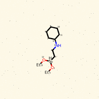 CCO[SiH](CCNC1CCCCC1)OCC